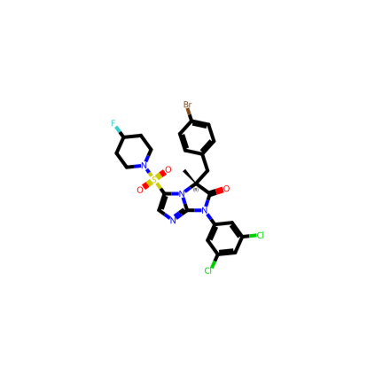 C[C@@]1(Cc2ccc(Br)cc2)C(=O)N(c2cc(Cl)cc(Cl)c2)c2ncc(S(=O)(=O)N3CCC(F)CC3)n21